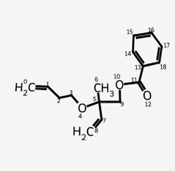 C=CCCOC(C)(C=C)COC(=O)c1ccccc1